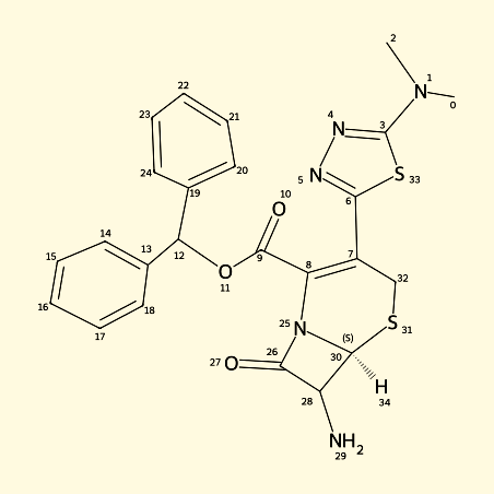 CN(C)c1nnc(C2=C(C(=O)OC(c3ccccc3)c3ccccc3)N3C(=O)C(N)[C@@H]3SC2)s1